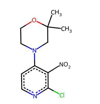 CC1(C)CN(c2ccnc(Cl)c2[N+](=O)[O-])CCO1